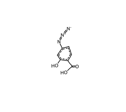 [N-]=[N+]=Nc1ccc(C(=O)O)c(O)c1